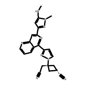 CNc1cc(-c2cc3ncccc3c(-c3ccn([C@]4(CC#N)C[C@H](C#N)C4)n3)n2)nn1C